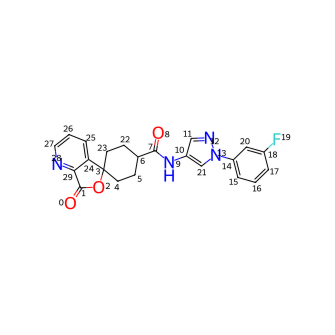 O=C1OC2(CCC(C(=O)Nc3cnn(-c4cccc(F)c4)c3)CC2)c2cccnc21